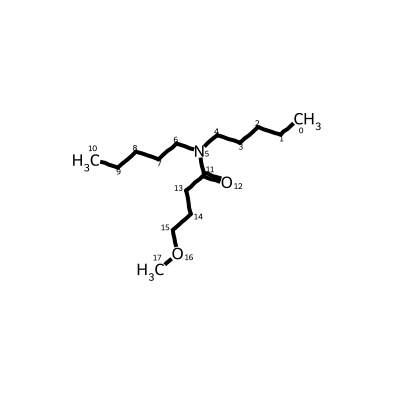 CCCCCN(CCCCC)C(=O)CCCOC